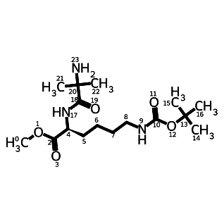 COC(=O)[C@H](CCCCNC(=O)OC(C)(C)C)NC(=O)C(C)(C)N